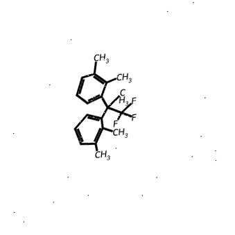 Cc1cccc(C(C)(c2cccc(C)c2C)C(F)(F)F)c1C